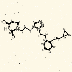 O=c1ccn(CCCc2cnnn2CCc2ccccc2OCC2CC2)c(=O)[nH]1